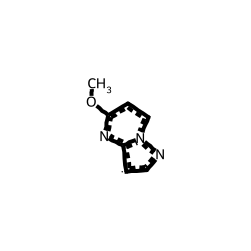 COc1ccn2nc[c]c2n1